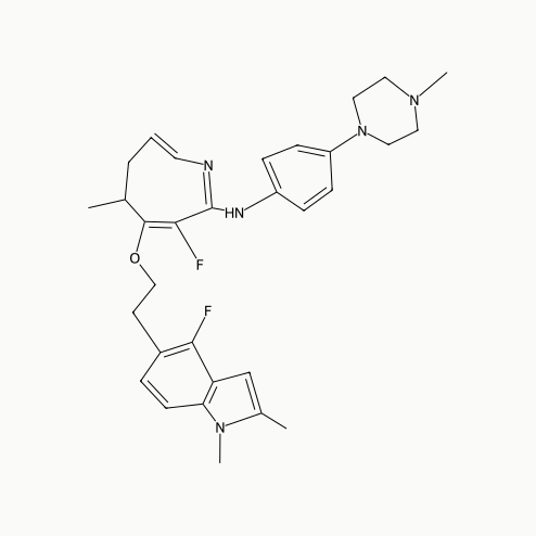 Cc1cc2c(F)c(CCO/C3=C(F)/C(Nc4ccc(N5CCN(C)CC5)cc4)=N\C=C\CC3C)ccc2n1C